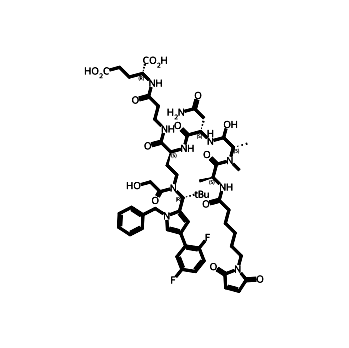 C[C@H](NC(=O)CCCCCN1C(=O)C=CC1=O)C(=O)N(C)[C@@H](C)C(O)N[C@@H](CC(N)=O)C(=O)N[C@@H](CCN(C(=O)CO)[C@@H](c1cc(-c2cc(F)ccc2F)cn1Cc1ccccc1)C(C)(C)C)C(=O)NCCC(=O)N[C@H](CCC(=O)O)C(=O)O